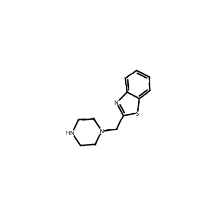 c1ccc2sc(CN3CCNCC3)nc2c1